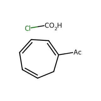 CC(=O)C1=CC=CC=CC1.O=C(O)Cl